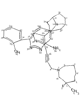 CC1(F)CCCCN(CC#Cc2cc(N3C4CCC3CN(c3cc(-c5ccccc5O)nnc3N)C4)ccn2)C1